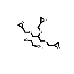 C(OCC1CO1)C(COCC1CO1)OCC1CO1.CCCO